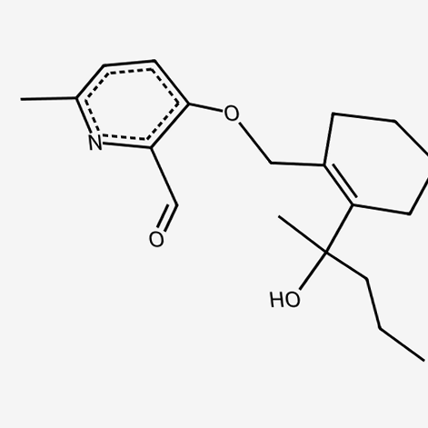 CCCC(C)(O)C1=C(COc2ccc(C)nc2C=O)CCCC1